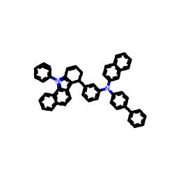 c1cccc(-n2c3c(c4ccc5ccccc5c42)C(c2cccc(N(c4ccc(-c5ccccc5)cc4)c4ccc5ccccc5c4)c2)CC=C3)c#1